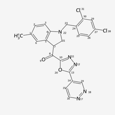 Cc1ccc2c(c1)C(C(=O)c1nnc(-c3ccnnc3)o1)CN2Cc1ccc(Cl)cc1Cl